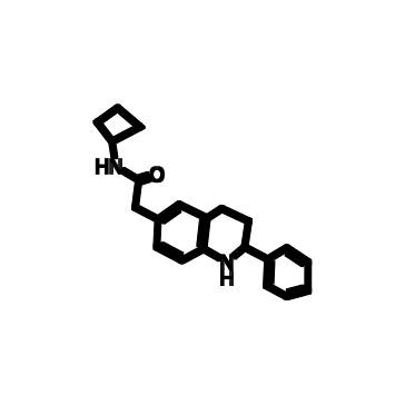 O=C(Cc1ccc2c(c1)CCC(c1ccccc1)N2)NC1CCC1